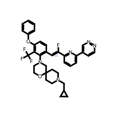 F/C(=C\c1ccc(Oc2ccccc2)c(C(F)(F)F)c1N1CCOC2(CCN(CC3CC3)CC2)C1)c1cccc(-c2ccnnc2)n1